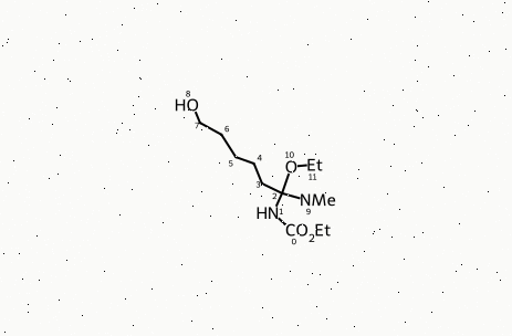 CCOC(=O)NC(CCCCCO)(NC)OCC